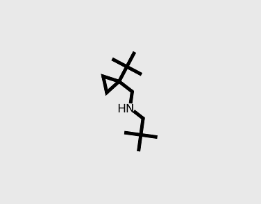 CC(C)(C)CNCC1(C(C)(C)C)CC1